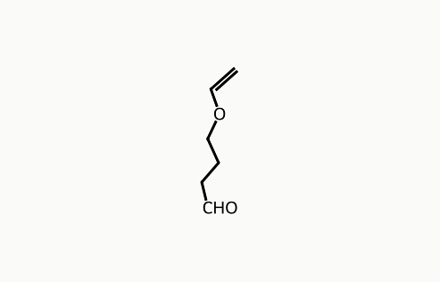 C=COCCCC=O